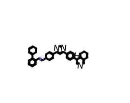 C1=CCCC(c2ccccc2/C=C/C2C=CC(c3cc(-c4ccc(C5C=NC=C6C=CCC[C@H]65)cc4)ncn3)=CC2)=C1